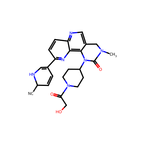 CN1Cc2cnc3ccc(C4=CNC(C#N)C=C4)nc3c2N(C2CCN(C(=O)CO)CC2)C1=O